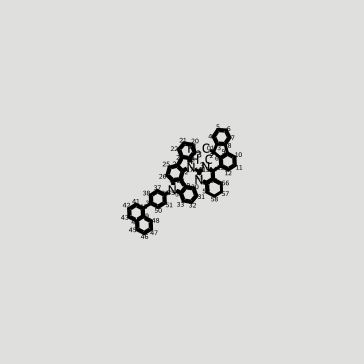 CC1(C)c2ccccc2-c2cccc(-c3nc(-n4c5ccccc5c5ccc6c(c7ccccc7n6-c6ccc(-c7cccc8ccccc78)cc6)c54)nc4c3=CCCC=4)c21